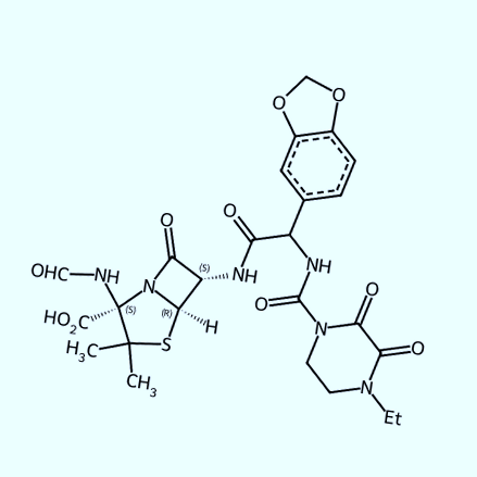 CCN1CCN(C(=O)NC(C(=O)N[C@H]2C(=O)N3[C@@H]2SC(C)(C)[C@]3(NC=O)C(=O)O)c2ccc3c(c2)OCO3)C(=O)C1=O